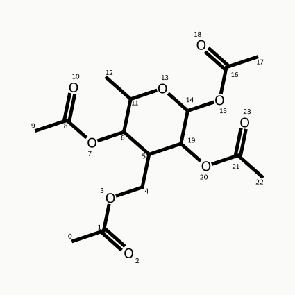 CC(=O)OCC1C(OC(C)=O)C(C)OC(OC(C)=O)C1OC(C)=O